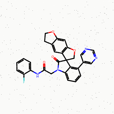 O=C(CN1C(=O)C2(COc3cc4c(cc32)CCO4)c2c(-c3cncnc3)cccc21)Nc1ccccc1F